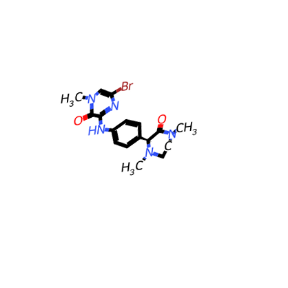 CN1CCN(C)[C@@H](c2ccc(Nc3nc(Br)cn(C)c3=O)cc2)C1=O